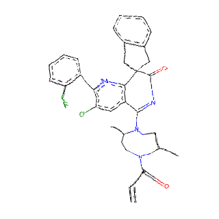 C=CC(=O)N1CC(C)N(C2=NC(=O)C3(Cc4ccccc4C3)c3nc(-c4ccccc4F)c(Cl)cc32)CC1C